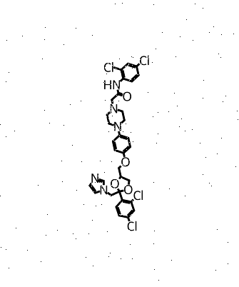 O=C(CN1CCN(c2ccc(OCC3COC(Cn4ccnc4)(c4ccc(Cl)cc4Cl)O3)cc2)CC1)Nc1ccc(Cl)cc1Cl